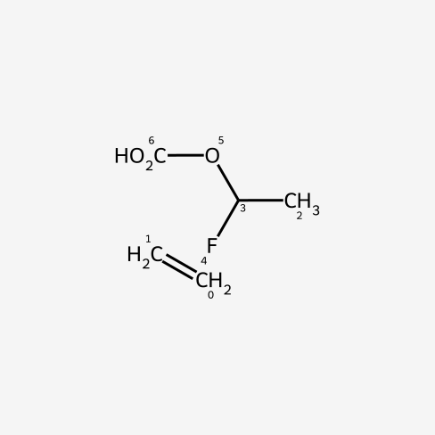 C=C.CC(F)OC(=O)O